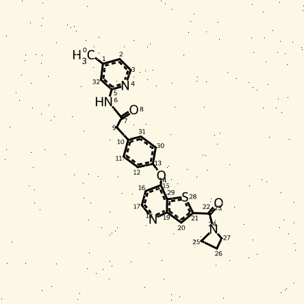 Cc1ccnc(NC(=O)Cc2ccc(Oc3ccnc4cc(C(=O)N5CCC5)sc34)cc2)c1